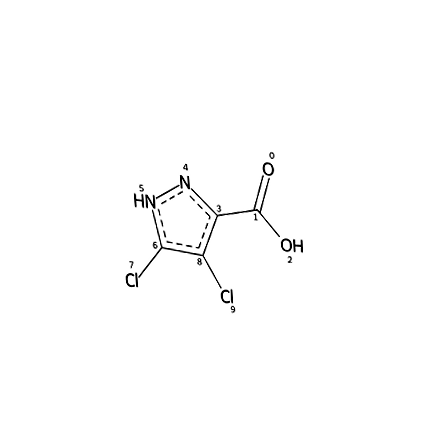 O=C(O)c1n[nH]c(Cl)c1Cl